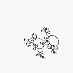 CC(C)C1NC(=O)C(CC(=O)NO)CCCCCCCC2CCC(CO)N2C1=O.CC(C)C1NC(=O)C(CC(=O)NO)CCCCCCCC2COCCN2C1=O